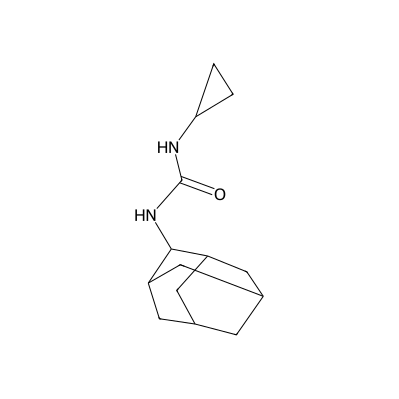 O=C(NC1CC1)NC1C2CC3CC(C2)CC1C3